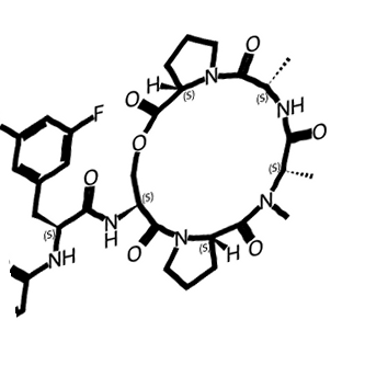 C=CC(=O)N[C@@H](Cc1cc(F)cc(F)c1)C(=O)N[C@H]1COC(=O)[C@@H]2CCCN2C(=O)[C@H](C)NC(=O)[C@H](C)N(C)C(=O)[C@@H]2CCCN2C1=O